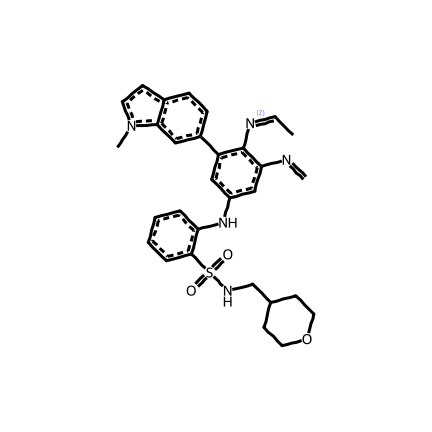 C=Nc1cc(Nc2ccccc2S(=O)(=O)NCC2CCOCC2)cc(-c2ccc3ccn(C)c3c2)c1/N=C\C